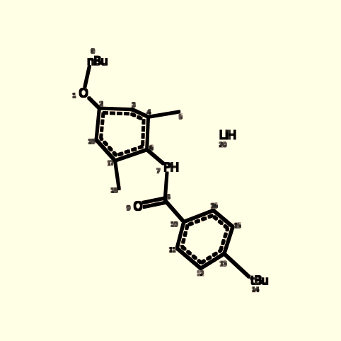 CCCCOc1cc(C)c(PC(=O)c2ccc(C(C)(C)C)cc2)c(C)c1.[LiH]